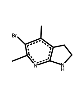 Cc1nc2c(c(C)c1Br)CCN2